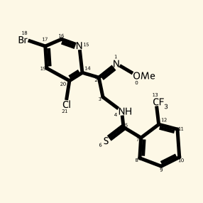 CON=C(CNC(=S)c1ccccc1C(F)(F)F)c1ncc(Br)cc1Cl